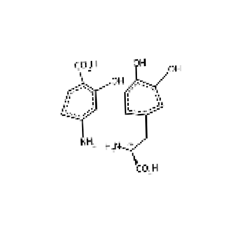 N[C@@H](Cc1ccc(O)c(O)c1)C(=O)O.Nc1ccc(C(=O)O)c(O)c1